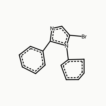 Brc1cnc(-c2ccccc2)n1-c1ccccc1